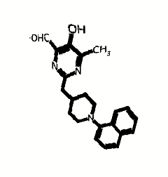 Cc1nc(CC2CCN(c3cccc4ccccc34)CC2)nc([C]=O)c1O